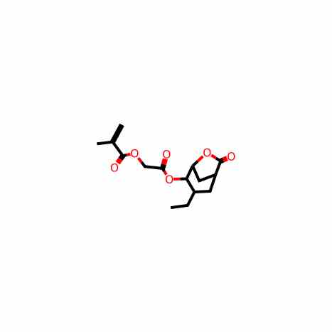 C=C(C)C(=O)OCC(=O)OC1C(CC)CC2CC1OC2=O